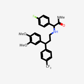 CNC(=O)C(NCCC(c1ccc(C(F)(F)F)cc1)c1ccc(OC)c(OC)c1)c1ccc(F)cc1